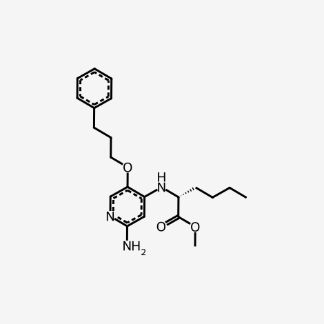 CCCC[C@@H](Nc1cc(N)ncc1OCCCc1ccccc1)C(=O)OC